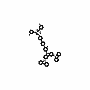 Cc1cccc(-c2cc(-c3ccc(-c4ccc(-c5ccc(-n6c7ccc(-n8c9ccccc9c9ccccc98)cc7c7cc(-n8c9ccccc9c9ccccc98)ccc76)cc5C)cc4)cc3)nc(-c3cccc(C)c3)n2)c1